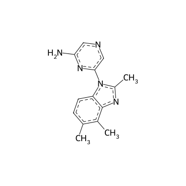 Cc1ccc2c(nc(C)n2-c2cncc(N)n2)c1C